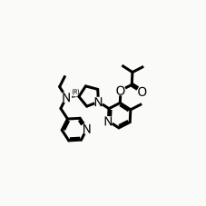 CCN(Cc1cccnc1)[C@@H]1CCN(c2nccc(C)c2OC(=O)C(C)C)C1